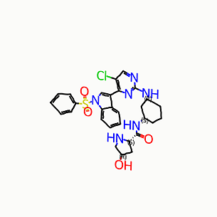 O=C(N[C@H]1CCC[C@@H](Nc2ncc(Cl)c(-c3cn(S(=O)(=O)c4ccccc4)c4ccccc34)n2)C1)[C@@H]1C[C@@H](O)CN1